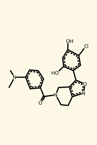 CN(C)c1cccc(C(=O)N2CCc3noc(-c4cc(Cl)c(O)cc4O)c3C2)c1